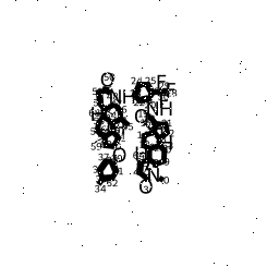 CN1C(=O)C=C[C@@]2(C)C1CC[C@@H]1[C@H]2CC[C@]2(C)C(C(=O)Nc3ccccc3C(F)(F)F)CC[C@@H]12.Cc1ccc(OC2C[C@H]3[C@@H]4C(C)CC5NC(=O)C=C[C@]5(C)[C@@H]4CC[C@]3(C)C2)cc1